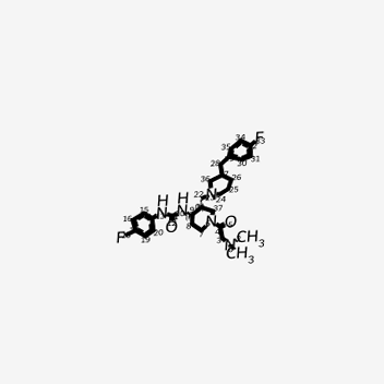 CN(C)CC(=O)N1CC[C@@H](NC(=O)Nc2ccc(F)cc2)[C@H](CN2CCCC(Cc3ccc(F)cc3)C2)C1